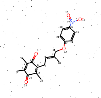 CC1=C(C)C(=O)C(C/C=C(\C)COc2ccc([N+](=O)[O-])cc2)=C(C)C1=O